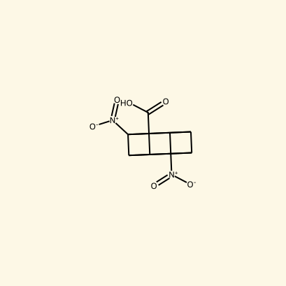 O=C(O)C12C3C4C5C(C1C53[N+](=O)[O-])C42[N+](=O)[O-]